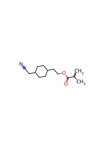 C=C(C)C(=O)OCCC1CCC(CC#N)CC1